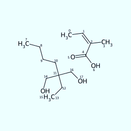 CC=C(C)C(=O)O.CCCCC(CC)(CO)CO